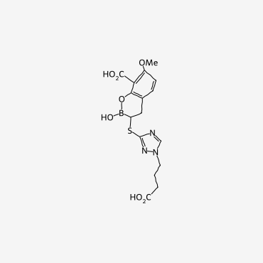 COc1ccc2c(c1C(=O)O)OB(O)C(Sc1ncn(CCCC(=O)O)n1)C2